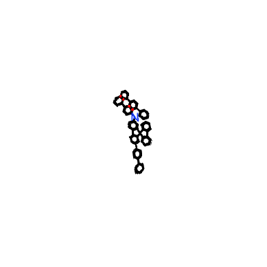 c1ccc(-c2ccc(-c3ccc4c(c3)C3(c5ccccc5-c5ccccc53)c3cc(N(c5ccc(-c6ccccc6)cc5)c5ccccc5-c5ccc(-c6ccccc6)cc5)ccc3-4)cc2)cc1